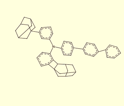 c1ccc(-c2ccc(-c3ccc(N(c4cccc(C56CC7CC(CC(C7)C5)C6)c4)c4cccc5c4C4C6CC7CC(C6)CC54C7)cc3)cc2)cc1